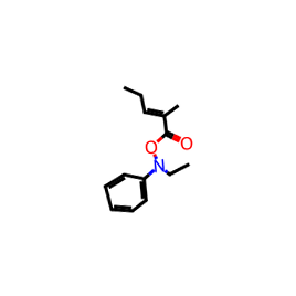 CCC=C(C)C(=O)ON(CC)c1ccccc1